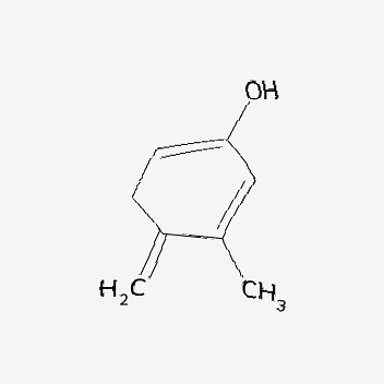 C=C1CC=C(O)C=C1C